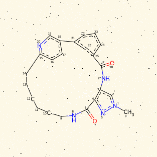 Cn1cc2c(n1)C(=O)NCCCCCCc1ccc(cn1)-c1cccc(c1)C(=O)N2